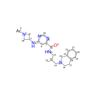 CC(=O)N1CC(Nc2cc(C(=O)NCC(C)CN3CCc4ccccc4C3)ncn2)C1